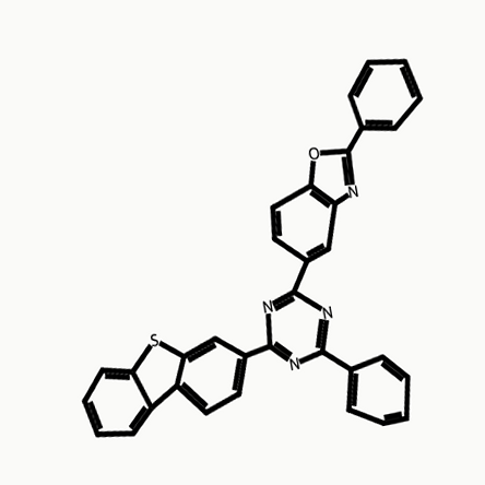 c1ccc(-c2nc(-c3ccc4oc(-c5ccccc5)nc4c3)nc(-c3ccc4c(c3)sc3ccccc34)n2)cc1